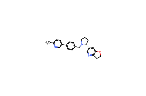 Cc1ccc(-c2ccc(CN3CCC[C@@H]3c3cnc4c(c3)OCC4)cc2)cn1